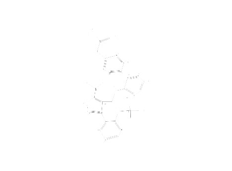 CC(C)c1onc(-c2ccccc2OC(F)(F)F)c1COc1ccccc1-c1ccc(CC(=O)O)cc1